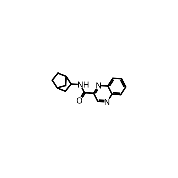 O=C(NC1CC2CCC1C2)c1cnc2ccccc2n1